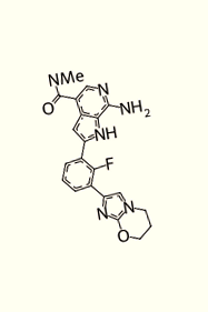 CNC(=O)c1cnc(N)c2[nH]c(-c3cccc(-c4cn5c(n4)OCCC5)c3F)cc12